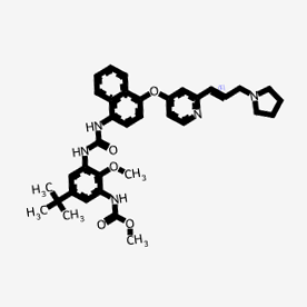 COC(=O)Nc1cc(C(C)(C)C)cc(NC(=O)Nc2ccc(Oc3ccnc(/C=C/CN4CCCC4)c3)c3ccccc23)c1OC